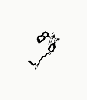 C=CCN(C)CCCCCCOc1ccc(N(C)C(=S)Nc2cccc3ccccc23)cc1